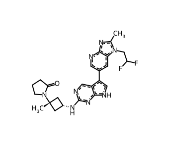 Cc1nc2ncc(-c3c[nH]c4nc(N[C@H]5C[C@@](C)(N6CCCC6=O)C5)ncc34)cc2n1CC(F)F